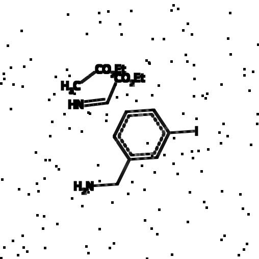 CCOC(=O)C=N.CCOC(C)=O.NCc1cccc(I)c1